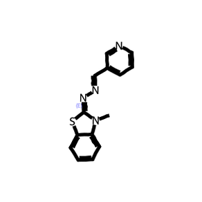 Cn1/c(=N\N=Cc2cccnc2)sc2ccccc21